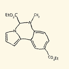 CCOC(=O)c1ccc2c(c1)-c1cccn1C(C(=O)OCC)N2C